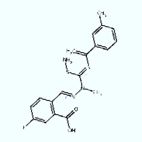 C=C(/N=C(\SN)N(C)/N=C/c1ccc(F)cc1C(=O)O)c1cccc(C)c1